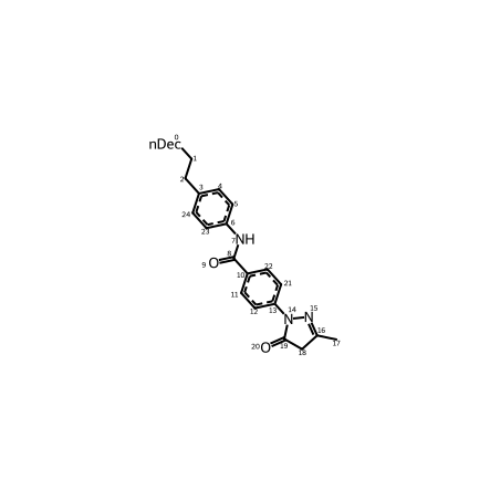 CCCCCCCCCCCCc1ccc(NC(=O)c2ccc(N3N=C(C)CC3=O)cc2)cc1